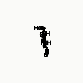 O=C(NCCc1cccc(O)c1)c1ccc(-c2ccnc(Nc3cccc(CCCN4CCOCC4)c3)n2)s1